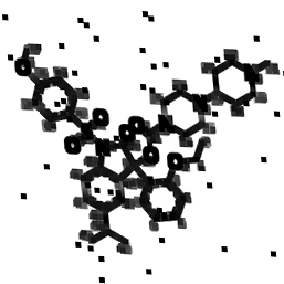 CCOc1ccccc1C1(OC(=O)N2CCN(C3CCN(C)CC3)CC2)C(=O)N(S(=O)(=O)c2ccc(OC)cc2)c2ccc(C(C)C)cc21